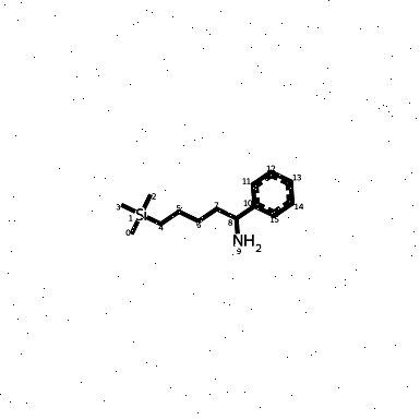 C[Si](C)(C)CCCCC(N)c1ccccc1